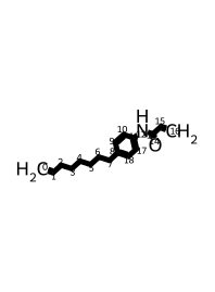 C=CCCCCCCc1ccc(NC(=O)C=C)cc1